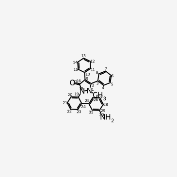 Cn1c(-c2ccccc2)c(-c2ccccc2)c(=O)n1-c1ccccc1-c1cccc(N)c1